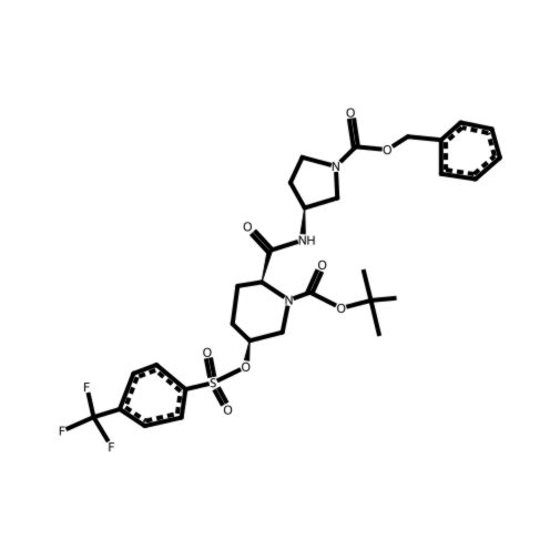 CC(C)(C)OC(=O)N1C[C@@H](OS(=O)(=O)c2ccc(C(F)(F)F)cc2)CC[C@H]1C(=O)N[C@H]1CCN(C(=O)OCc2ccccc2)C1